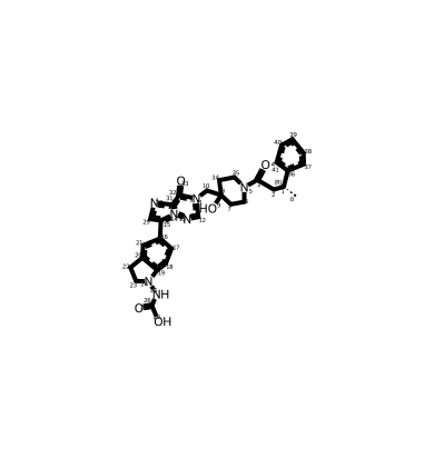 C[C@H](CC(=O)N1CCC(O)(Cn2cnn3c(-c4ccc5c(c4)CCN5NC(=O)O)cnc3c2=O)CC1)c1ccccc1